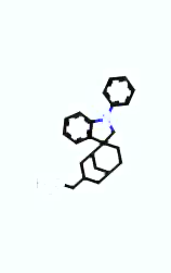 CCC1CC2CCC3(CN(c4ccccc4)c4ccccc43)C(C1)C2